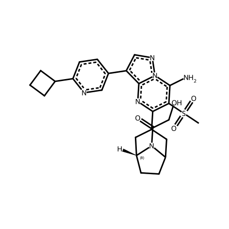 CS(=O)(=O)c1c(C2CC3CC[C@H](C2)N3C(=O)CO)nc2c(-c3ccc(C4CCC4)nc3)cnn2c1N